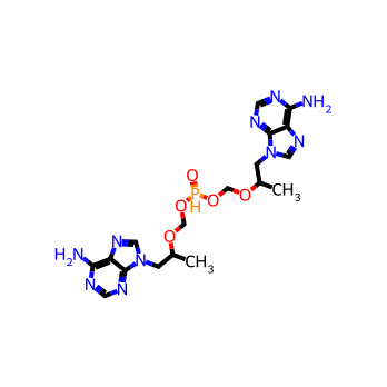 CC(Cn1cnc2c(N)ncnc21)OCO[PH](=O)OCOC(C)Cn1cnc2c(N)ncnc21